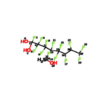 OC(O)(F)C(F)(F)C(F)(F)C(F)(F)C(F)(F)C(F)C(F)C(F)F.O[SiH3]